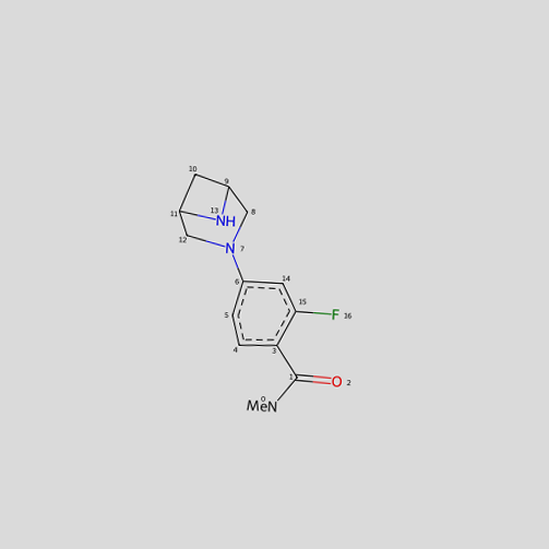 CNC(=O)c1ccc(N2CC3CC(C2)N3)cc1F